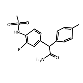 Cc1ccc(C(C(N)=O)c2ccc(NS(C)(=O)=O)c(F)c2)cc1